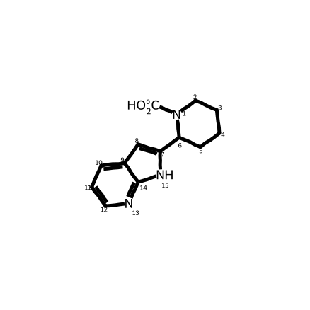 O=C(O)N1CCCCC1c1cc2cccnc2[nH]1